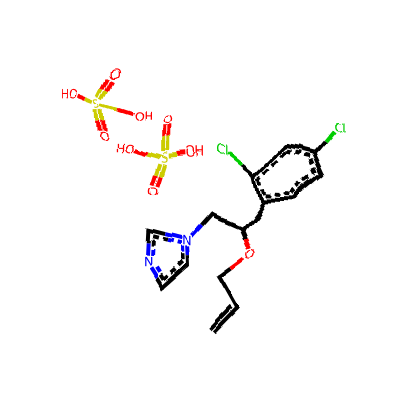 C=CCOC(Cn1ccnc1)c1ccc(Cl)cc1Cl.O=S(=O)(O)O.O=S(=O)(O)O